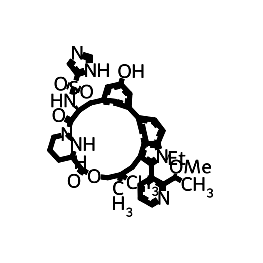 CCn1c(-c2cccnc2[C@H](C)OC)c2c3cc(ccc31)-c1cc(O)cc(c1)C[C@H](NS(=O)(=O)c1cnc[nH]1)C(=O)N1CCC[C@H](N1)C(=O)OCC(C)(C)C2